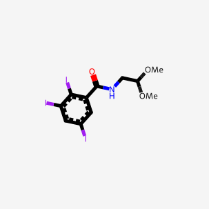 COC(CNC(=O)c1cc(I)cc(I)c1I)OC